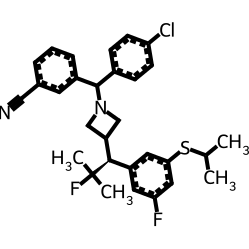 CC(C)Sc1cc(F)cc([C@H](C2CN(C(c3ccc(Cl)cc3)c3cccc(C#N)c3)C2)C(C)(C)F)c1